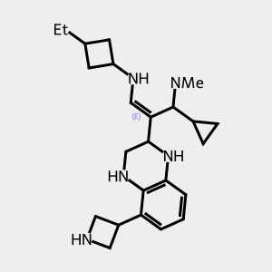 CCC1CC(N/C=C(/C2CNc3c(cccc3C3CNC3)N2)C(NC)C2CC2)C1